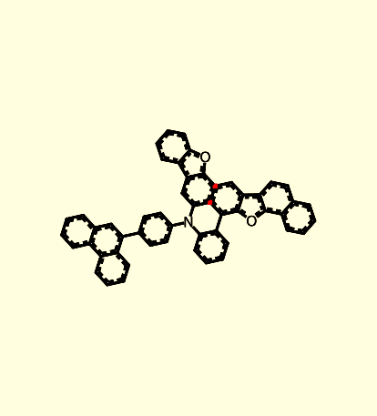 c1ccc(N(c2ccc(-c3cc4ccccc4c4ccccc34)cc2)c2ccc3oc4ccccc4c3c2)c(-c2cccc3c2oc2c4ccccc4ccc32)c1